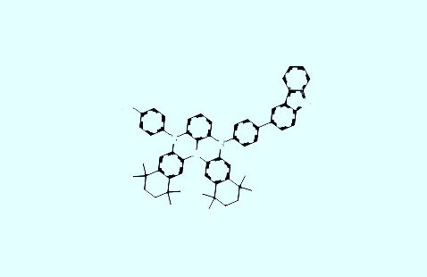 CC(C)(C)c1ccc(N2c3cc4c(cc3B3c5cc6c(cc5N(c5ccc(-c7ccc8oc9ccccc9c8c7)cc5)c5cccc2c53)C(C)(C)CCC6(C)C)C(C)(C)CCC4(C)C)cc1